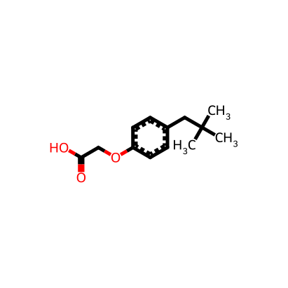 CC(C)(C)Cc1ccc(OCC(=O)O)cc1